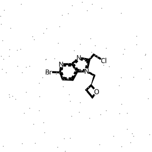 ClCc1nc2nc(Br)ccc2n1C[C@@H]1CCO1